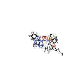 CCS(=O)(=O)N(CC(=O)Nc1nc2ccccc2n1C)C1CC(C)(C)Oc2ccc(F)cc21